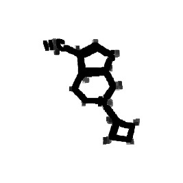 Cc1csc2c1CCN(C1CCC1)C2